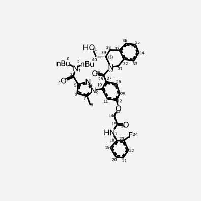 CCCCN(CCCC)C(=O)c1cc(C)n(-c2cc(OCC(=O)Nc3ccccc3F)ccc2C(=O)N2Cc3ccccc3C[C@H]2CO)n1